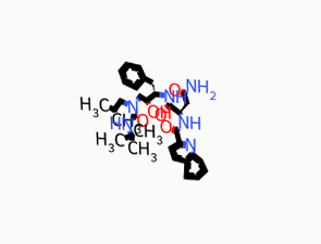 CC(C)CN(CC(O)[C@H](Cc1ccccc1)NC(=O)[C@@H](CC(N)=O)NC(=O)c1ccc2ccccc2n1)C(=O)NC(C)(C)C